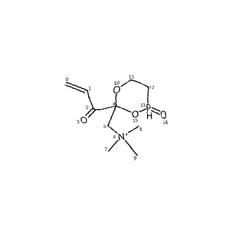 C=CC(=O)C1(C[N+](C)(C)C)OCC[PH](=O)O1